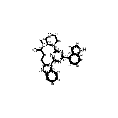 COC(=O)CCc1nc2ccccc2n1-c1nc(-c2cccc3[nH]ccc23)nc(N2CCOCC2)n1